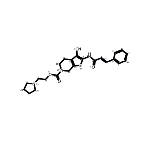 N#Cc1c(NC(=O)/C=C/c2ccccc2)sc2c1CCN(C(=O)OCCN1CCCC1)C2